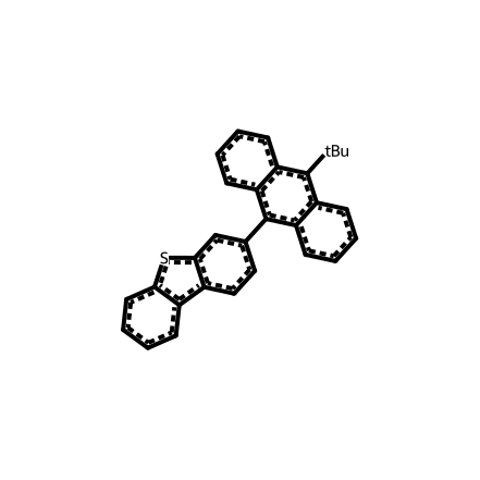 CC(C)(C)c1c2ccccc2c(-c2ccc3c(c2)sc2ccccc23)c2ccccc12